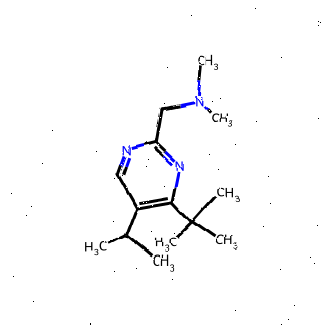 CC(C)c1cnc(CN(C)C)nc1C(C)(C)C